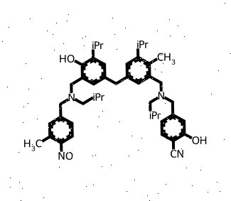 Cc1cc(CN(Cc2cc(Cc3cc(CN(Cc4ccc(C#N)c(O)c4)CC(C)C)c(C)c(C(C)C)c3)cc(C(C)C)c2O)CC(C)C)ccc1N=O